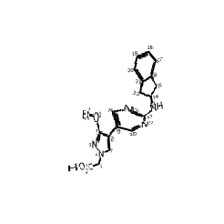 CCOc1nn(CC(=O)O)cc1-c1cnc(NC2Cc3ccccc3C2)nc1